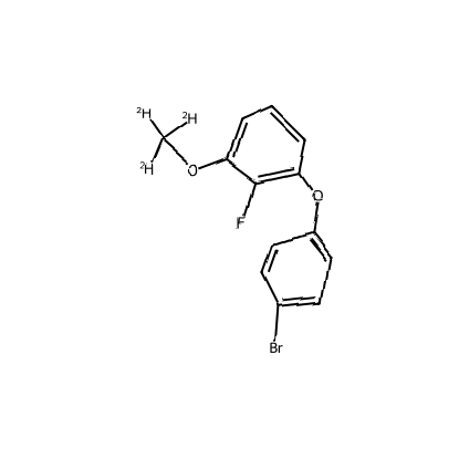 [2H]C([2H])([2H])Oc1cccc(Oc2ccc(Br)cc2)c1F